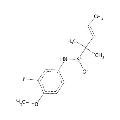 CC=CC(C)(C)[S+]([O-])Nc1ccc(OC)c(F)c1